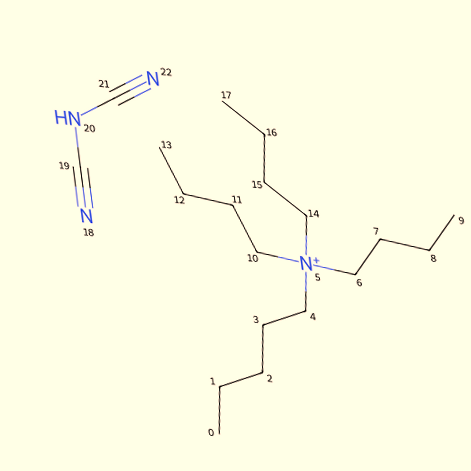 CCCCC[N+](CCCC)(CCCC)CCCC.N#CNC#N